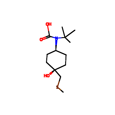 CSC[C@]1(O)CC[C@@H](N(C(=O)O)C(C)(C)C)CC1